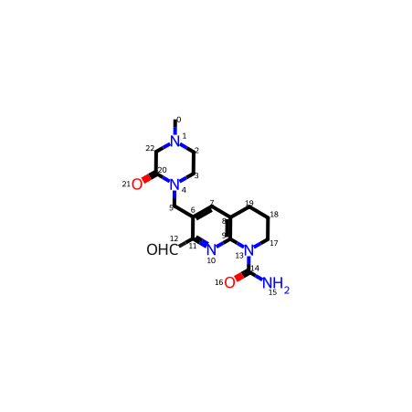 CN1CCN(Cc2cc3c(nc2C=O)N(C(N)=O)CCC3)C(=O)C1